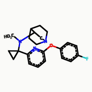 O=C(O)N(C1CN2CCC1CC2)C1(c2cccc(Oc3ccc(F)cc3)n2)CC1